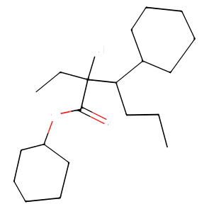 CCCC(C1CCCCC1)C([SiH3])(CC)C(=O)OC1CCCCC1